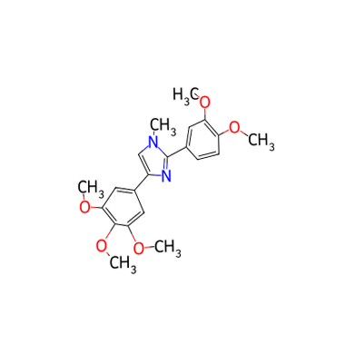 COc1ccc(-c2nc(-c3cc(OC)c(OC)c(OC)c3)cn2C)cc1OC